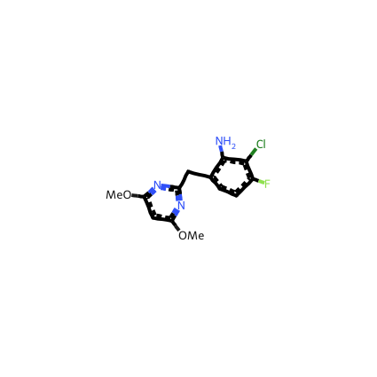 COc1cc(OC)nc(Cc2ccc(F)c(Cl)c2N)n1